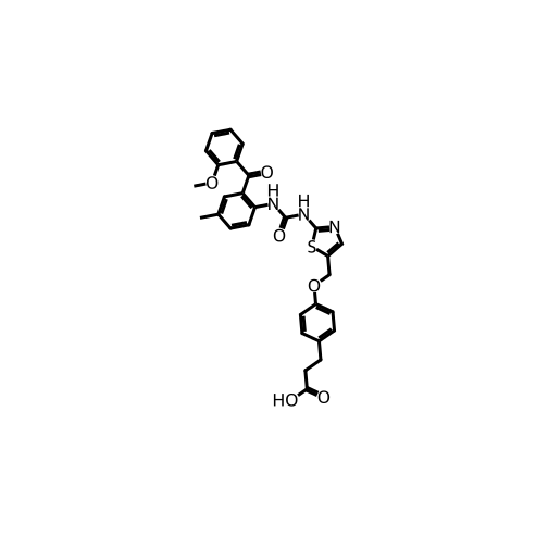 COc1ccccc1C(=O)c1cc(C)ccc1NC(=O)Nc1ncc(COc2ccc(CCC(=O)O)cc2)s1